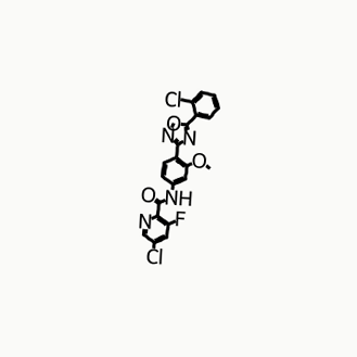 COc1cc(NC(=O)c2ncc(Cl)cc2F)ccc1-c1noc(-c2ccccc2Cl)n1